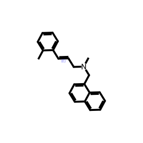 Cc1ccccc1/C=C/CN(C)Cc1cccc2ccccc12